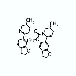 CC1CC=C(c2ccc3c(c2)OCC3)N(C(=O)OC(C)(C)C)C1.CC1CCC(c2ccc3c(c2)OCC3)=NC1